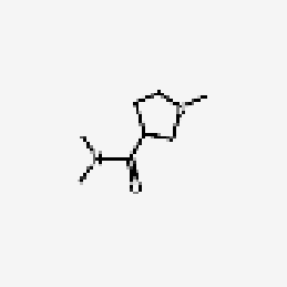 CN1CCC(C(=O)N(C)C)C1